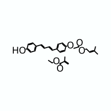 C=C(C)C(=O)OCC.CC(C)=CCOC(=O)COc1ccc(C=CC=Cc2ccc(O)cc2)cc1